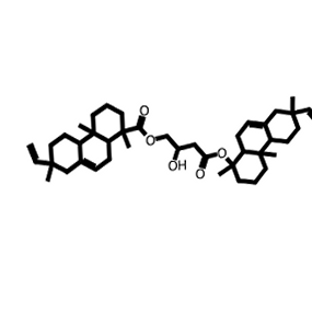 C=CC1(C)CCC2C(=CCC3C(C)(OC(=O)CC(O)COC(=O)C4(C)CCCC5(C)C6CCC(C)(C=C)CC6=CCC45)CCCC23C)C1